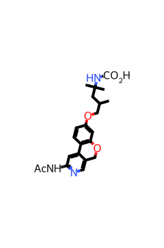 CC(=O)Nc1cc2c(cn1)COc1cc(OCC(C)CC(C)(C)NC(=O)O)ccc1-2